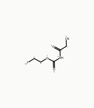 N#CCC(=O)NC(=O)OCCF